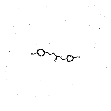 O=C(CCCc1ccc(O)cc1)OCc1ccc(O)cc1